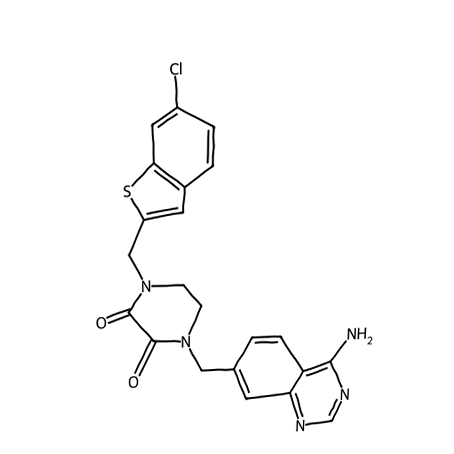 Nc1ncnc2cc(CN3CCN(Cc4cc5ccc(Cl)cc5s4)C(=O)C3=O)ccc12